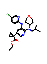 CCOC(=O)C1(c2cnc(N(CC(C)C)C3CCOCC3)c(Nc3ccc(Cl)cn3)c2)CC1